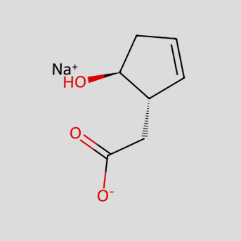 O=C([O-])C[C@H]1C=CC[C@@H]1O.[Na+]